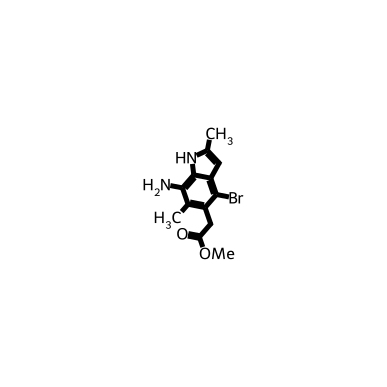 COC(=O)Cc1c(C)c(N)c2[nH]c(C)cc2c1Br